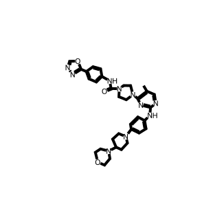 Cc1cnc(Nc2ccc(N3CCC(N4CCOCC4)CC3)cc2)nc1N1CCN(C(=O)Nc2ccc(-c3nnco3)cc2)CC1